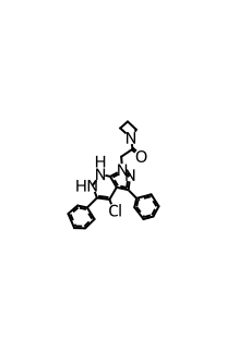 O=C(Cn1nc(-c2ccccc2)c2c1NNC(c1ccccc1)=C2Cl)N1CCC1